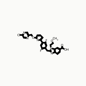 COCCn1c(Cc2cc(F)c(-c3cccc(OCc4cnc(Cl)cn4)n3)cc2F)nc2ccc(C(=O)O)cc21